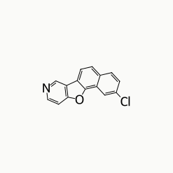 Clc1ccc2ccc3c4cnccc4oc3c2c1